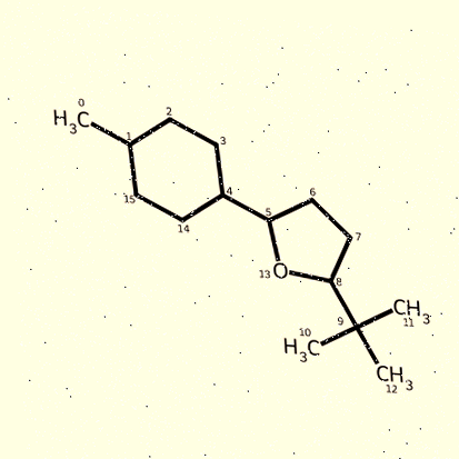 CC1CCC(C2CCC(C(C)(C)C)O2)CC1